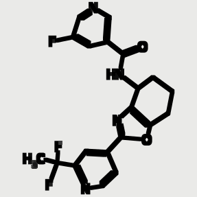 CC(F)(F)c1cc(-c2nc3c(o2)CCCC3NC(=O)c2cncc(F)c2)ccn1